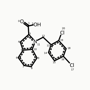 O=C(O)c1cc2ccccc2n1Cc1ccc(Cl)cc1Cl